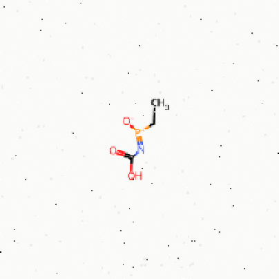 CC/[P+]([O-])=N/C(=O)O